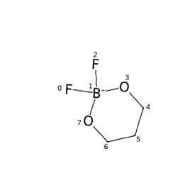 F[B-]1(F)OCCCO1